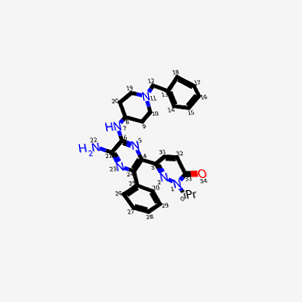 CC(C)n1nc(-c2nc(NC3CCN(Cc4ccccc4)CC3)c(N)nc2-c2ccccc2)ccc1=O